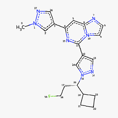 Cn1cc(-c2cc3nccn3c(-c3cnn([C@@H](CCF)C4CCC4)c3)n2)cn1